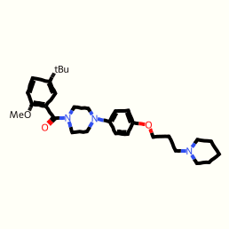 COc1ccc(C(C)(C)C)cc1C(=O)N1CCN(c2ccc(OCCCN3CCCCC3)cc2)CC1